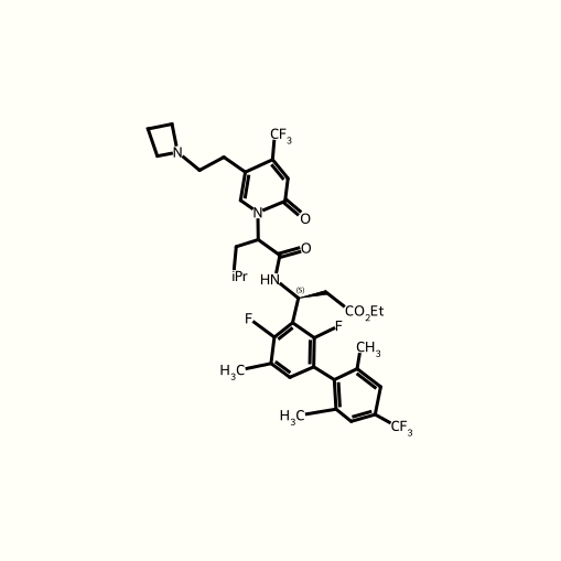 CCOC(=O)C[C@H](NC(=O)C(CC(C)C)n1cc(CCN2CCC2)c(C(F)(F)F)cc1=O)c1c(F)c(C)cc(-c2c(C)cc(C(F)(F)F)cc2C)c1F